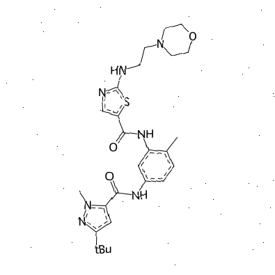 Cc1ccc(NC(=O)c2cc(C(C)(C)C)nn2C)cc1NC(=O)c1cnc(NCCN2CCOCC2)s1